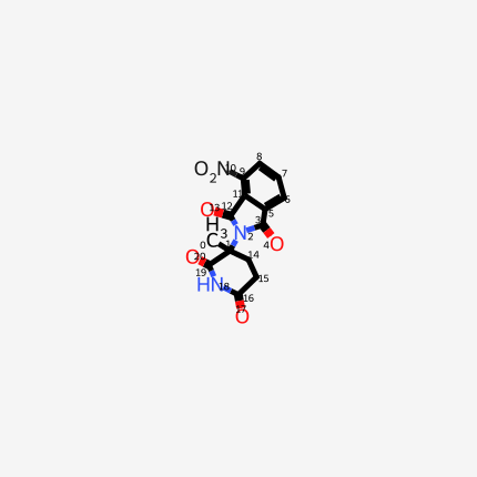 CC1(N2C(=O)c3cccc([N+](=O)[O-])c3C2=O)CCC(=O)NC1=O